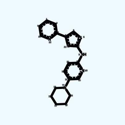 c1ccc(-c2csc(Nc3ccc(N4CCCCC4)cn3)n2)nc1